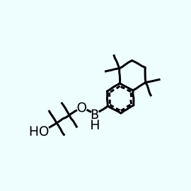 CC1(C)CCC(C)(C)c2cc(BOC(C)(C)C(C)(C)O)ccc21